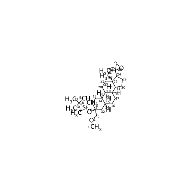 COC[C@@]1(O[Si](C)(C)C(C)(C)C)CC[C@H]2[C@H](CC[C@@H]3[C@@H]2CC[C@]2(C)[C@@H](C4(C)CO4)CC[C@@H]32)C1